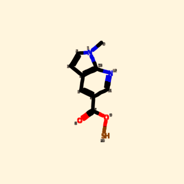 Cn1ccc2cc(C(=O)OS)cnc21